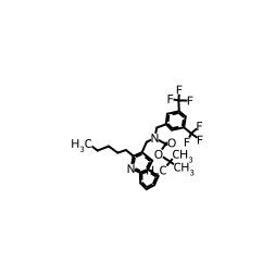 CCCCCc1nc2ccccc2cc1CN(Cc1cc(C(F)(F)F)cc(C(F)(F)F)c1)C(=O)OC(C)(C)C